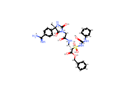 C[C@@]1(c2ccc(C(=N)N)cc2)NC(=O)N(CC(=O)NC[C@@H](C(=O)OCc2ccccc2)S(=O)(=O)NC(=O)Nc2ccccc2)C1=O